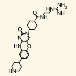 N=C(N)NCCNC(=O)[C@H]1CC[C@H](n2cc3c(nc2=O)Nc2cc(C4CCNCC4)ccc2O3)CC1